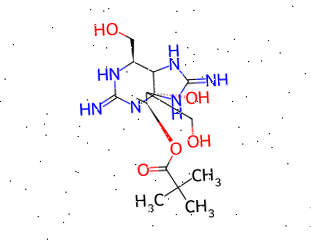 CC(C)(C)C(=O)O[C@H]1CN2C(=N)N[C@@H](CO)C3NC(=N)NC32[C@@]1(O)CO